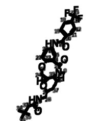 CN1C(=O)c2cc(NC(=O)c3ccc(C(F)(F)F)cc3)ccc2OC[C@@H]2O[C@H](CNC(=O)CC(C)(C)C)CC[C@@H]21